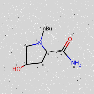 CCCCN1CC(O)C[C@H]1C(N)=O